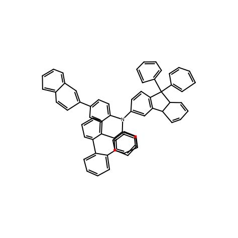 C1=CC2c3cc(N(c4ccc(-c5ccc6ccccc6c5)cc4)c4ccccc4-c4ccccc4-c4ccccc4-c4ccccc4)ccc3C(c3ccccc3)(c3ccccc3)C2C=C1